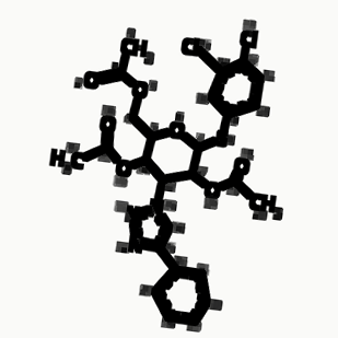 CC(=O)OCC1OC(Sc2ccc(Cl)c(Cl)c2)C(OC(C)=O)C(n2cc(-c3ccccc3)nn2)C1OC(C)=O